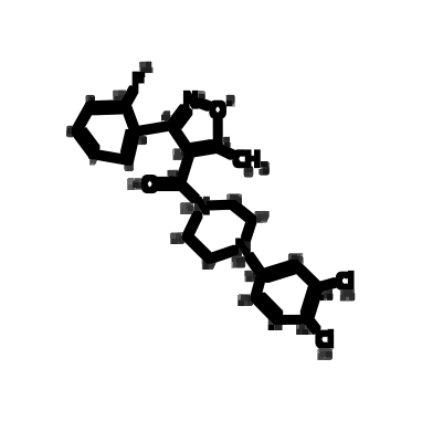 Cc1onc(-c2ccccc2F)c1C(=O)N1CCN(c2ccc(Cl)c(Cl)c2)CC1